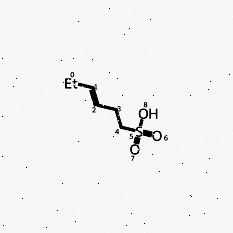 CCC=CCCS(=O)(=O)O